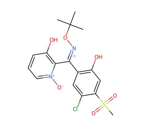 CC(C)(C)O/N=C(/c1cc(Cl)c(S(C)(=O)=O)cc1O)c1c(O)ccc[n+]1[O-]